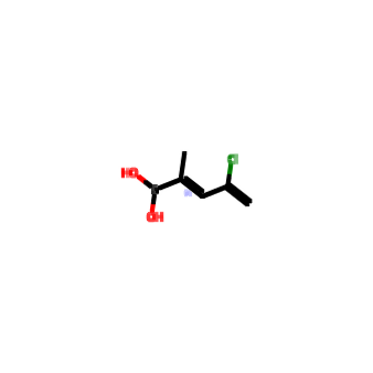 C=C(Cl)/C=C(\C)B(O)O